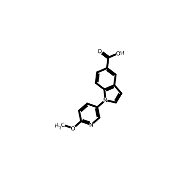 COc1ccc(-n2ccc3cc(C(=O)O)ccc32)cn1